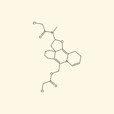 CN(C(=O)CCl)C1CC23CCCCC2=C(COC(=O)CCl)N2C=CCCC2=C3O1